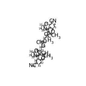 CC1(C)Oc2ccc(C#N)cc2[C@@H](N2CCCC2=O)[C@@H]1OCCOP(Cl)OCCO[C@H]1[C@H](N2CCCC2=O)c2cc(C#N)ccc2OC1(C)C